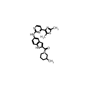 Cc1nc(-c2ccnc(Nc3ccc4[nH]c(C(=O)N5CCCC(C)C5)cc4c3)n2)c(C)s1